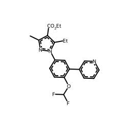 CCOC(=O)c1c(C)nn(-c2ccc(OC(F)F)c(-c3cccnc3)c2)c1CC